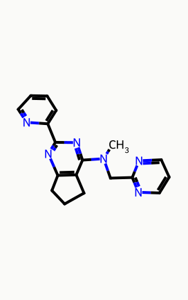 CN(Cc1ncccn1)c1nc(-c2ccccn2)nc2c1CCC2